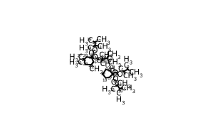 CC(C)C(C)(C)OOC1(OOC(C)(C)C(C)C)CCCCC1.CC1CC(C)(C)CC(OOC(C)(C)C(C)C)(OOC(C)(C)C(C)C)C1